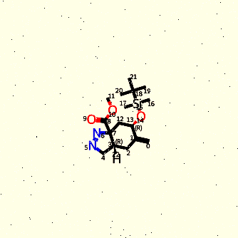 C=C1C[C@@H]2CN=NC2(C(=O)OC)C[C@H]1O[Si](C)(C)C(C)(C)C